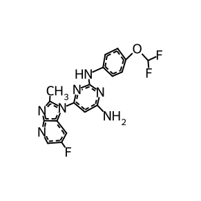 Cc1nc2ncc(F)cc2n1-c1cc(N)nc(Nc2ccc(OC(F)F)cc2)n1